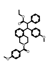 CCOC(=O)C(c1ccccc1)C(c1ccc(OC)cc1)c1cccc2c1CCN(C(=O)c1ccc(OC)cc1)C2